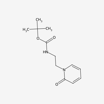 CC(C)(C)OC(=O)NCCn1ccccc1=O